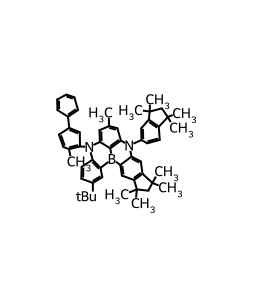 Cc1cc2c3c(c1)N(c1cc(-c4ccccc4)ccc1C)c1ccc(C(C)(C)C)cc1B3c1cc3c(cc1N2c1ccc2c(c1)C(C)(C)CC2(C)C)C(C)(C)CC3(C)C